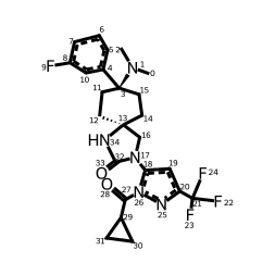 CN(C)[C@]1(c2cccc(F)c2)CC[C@]2(CC1)CN(c1cc(C(F)(F)F)nn1C(=O)C1CC1)C(=O)N2